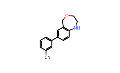 N#Cc1cccc(-c2ccc3c(c2)COCCN3)c1